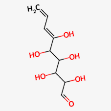 C=CC=C(O)C(O)C(O)C(O)C(O)C=O